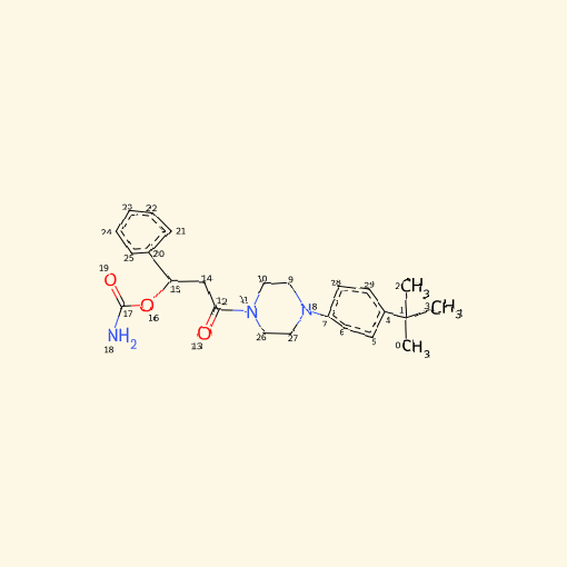 CC(C)(C)c1ccc(N2CCN(C(=O)CC(OC(N)=O)c3ccccc3)CC2)cc1